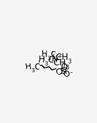 CCCCCCO[Si](=O)[O-].C[N+](C)(C)C